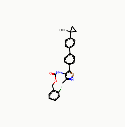 Cc1nsc(-c2ccc(-c3ccc(C4(C=O)CC4)cc3)cc2)c1NC(=O)OCc1ccccc1F